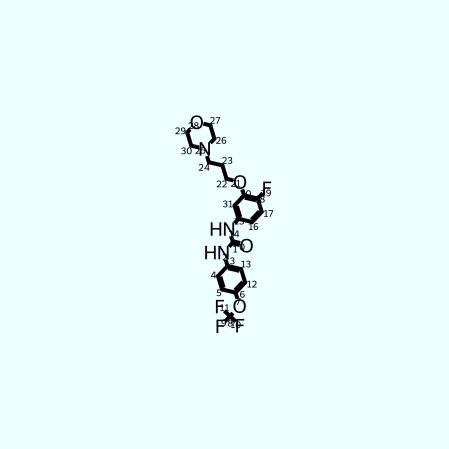 O=C(Nc1ccc(OC(F)(F)F)cc1)Nc1ccc(F)c(OCCCN2CCOCC2)c1